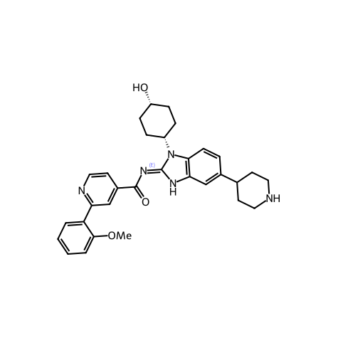 COc1ccccc1-c1cc(C(=O)/N=c2\[nH]c3cc(C4CCNCC4)ccc3n2[C@H]2CC[C@@H](O)CC2)ccn1